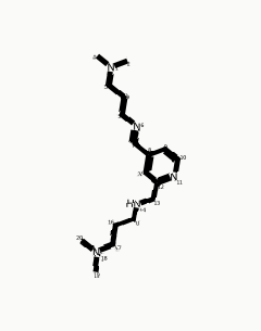 CN(C)CCC/N=C/c1ccnc(CNCCCN(C)C)c1